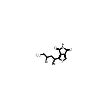 CCC(C)CC(Br)CC(Br)c1scc2c1C(=O)NC2=O